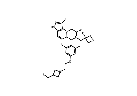 C[C@@H]1Cc2c(ccc3[nH]nc(F)c23)[C@@H](c2c(F)cc(OCCN3CC(CF)C3)cc2F)N1CC1(F)COC1